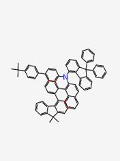 CC(C)(C)c1ccc(-c2ccc(N(c3cccc4c3-c3ccccc3C4(c3ccccc3)c3ccccc3)c3ccc4ccccc4c3-c3ccccc3-c3cccc4c3-c3ccccc3C4(C)C)cc2)cc1